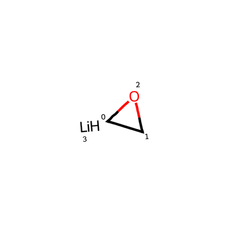 C1CO1.[LiH]